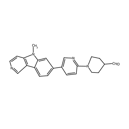 Cn1c2ccncc2c2ccc(-c3ccc(N4CCC(C=O)CC4)nc3)cc21